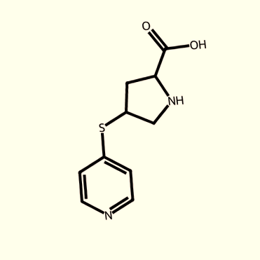 O=C(O)C1CC(Sc2ccncc2)CN1